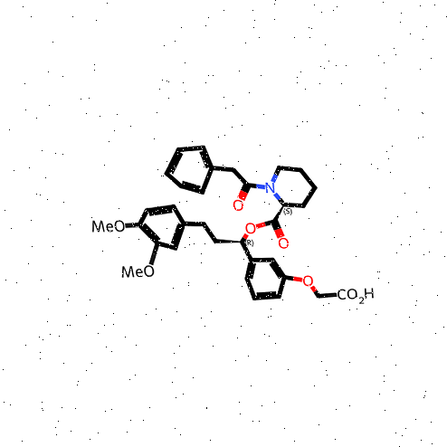 COc1ccc(CC[C@@H](OC(=O)[C@@H]2CCCCN2C(=O)Cc2ccccc2)c2cccc(OCC(=O)O)c2)cc1OC